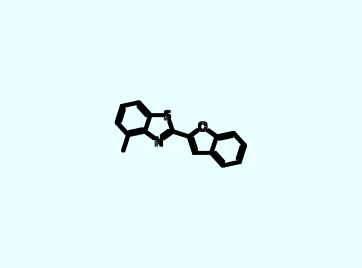 Cc1cccc2sc(-c3cc4ccccc4o3)nc12